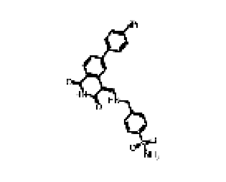 CC(C)c1ccc(-c2ccc3c(c2)C(=CNCc2ccc(S(N)(=O)=O)cc2)C(=O)NC3=O)cc1